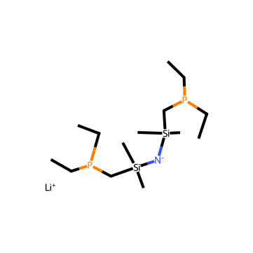 CCP(CC)C[Si](C)(C)[N-][Si](C)(C)CP(CC)CC.[Li+]